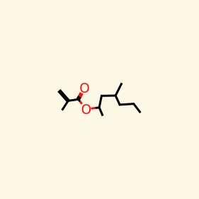 C=C(C)C(=O)OC(C)CC(C)CCC